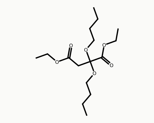 CCCCOC(CC(=O)OCC)(OCCCC)C(=O)OCC